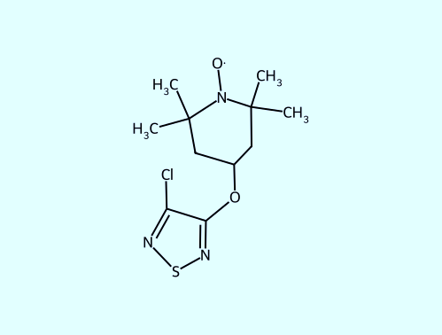 CC1(C)CC(Oc2nsnc2Cl)CC(C)(C)N1[O]